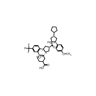 CC[C@H]1CN(C(=O)[C@]2(F)CN(C3CCCC3)C[C@H]2c2ccc(OC)cc2)C[C@@H]1c1ccc(C(F)(F)F)cc1N1CCC(C(=O)O)CC1